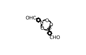 O=Cc1ccc(N2CCOCCOCCN(c3ccc(C=O)cc3)CCOCC2)cc1